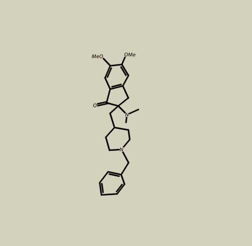 COc1cc2c(cc1OC)C(=O)C(CC1CCN(Cc3ccccc3)CC1)(N(C)C)C2